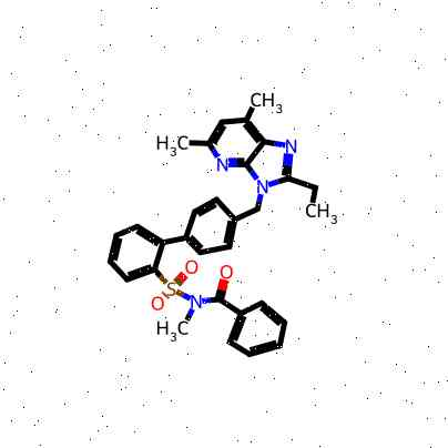 CCc1nc2c(C)cc(C)nc2n1Cc1ccc(-c2ccccc2S(=O)(=O)N(C)C(=O)c2ccccc2)cc1